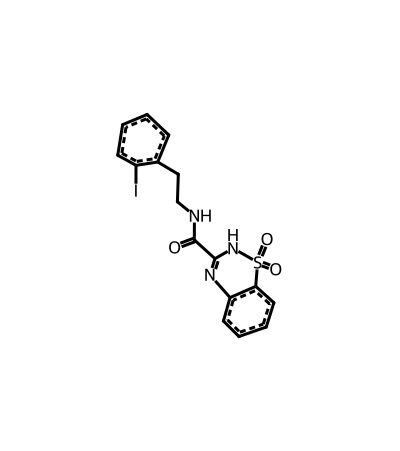 O=C(NCCc1ccccc1I)C1=Nc2ccccc2S(=O)(=O)N1